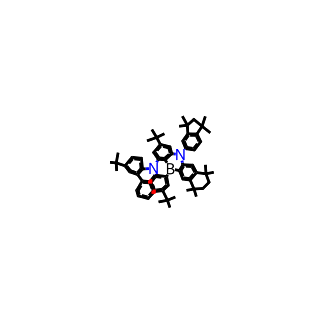 CC(C)(C)c1ccc2c(c1)B1c3cc4c(cc3N(c3ccc5c(c3)C(C)(C)CC5(C)C)c3cc(C(C)(C)C)cc(c31)N2c1ccc(C(C)(C)C)cc1-c1ccccc1)C(C)(C)CCC4(C)C